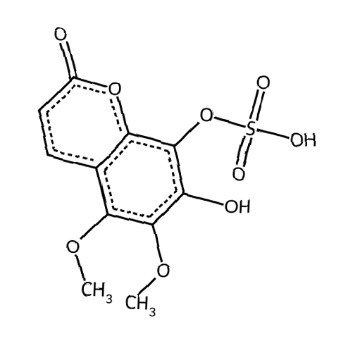 COc1c(O)c(OS(=O)(=O)O)c2oc(=O)ccc2c1OC